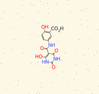 O=C(O)c1cc(NC(=O)c2c(O)[nH]c(=O)[nH]c2=O)ccc1O